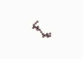 c1ccc(-c2ccc(-c3cccc(-n4c5ccccc5c5cc6c(cc54)c4ccccc4n6-c4cccc5c4sc4ccc(-c6ccc(-c7ccc(-n8c9ccccc9c9cc%10c(cc98)c8ccccc8n%10-c8cccc9c8sc8c(-c%10ccccc%10)cccc89)cc7)cc6)cc45)c3)cc2)cc1